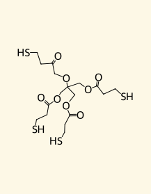 O=C(CCS)COC(COC(=O)CCS)(COC(=O)CCS)COC(=O)CCS